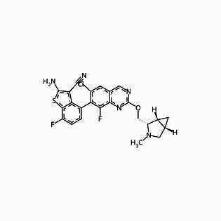 CN1C[C@H]2C[C@H]2[C@H]1COc1ncc2cc(Cl)c(-c3ccc(F)c4sc(N)c(C#N)c34)c(F)c2n1